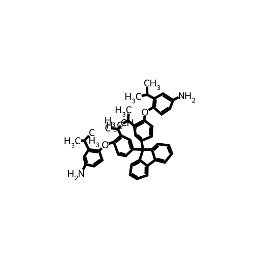 CC(C)c1cc(N)ccc1Oc1ccc(C2(c3ccc(Oc4ccc(N)cc4C(C)C)c(C(C)C)c3)c3ccccc3-c3ccccc32)cc1C(C)C